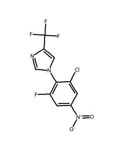 O=[N+]([O-])c1cc(F)c(-n2cnc(C(F)(F)F)c2)c(Cl)c1